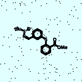 COC(=O)c1ccccc1Sc1cccc(/C=N\[S+]([O-])C(C)(C)C)c1